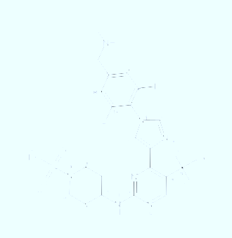 CNCc1cc(F)c(-n2cnc(-c3nc(NC4CCN(S(C)(=O)=O)CC4)ncc3C(F)(F)F)c2)c(F)c1